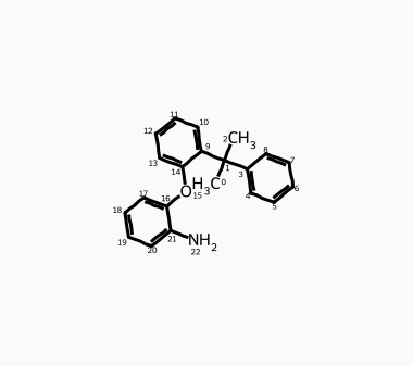 CC(C)(c1ccccc1)c1ccccc1Oc1ccccc1N